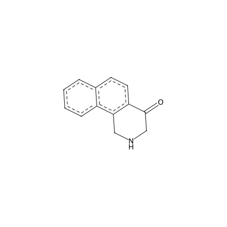 O=C1CNCc2c1ccc1ccccc21